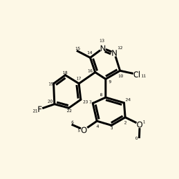 COc1cc(OC)cc(-c2c(Cl)nnc(C)c2-c2ccc(F)cc2)c1